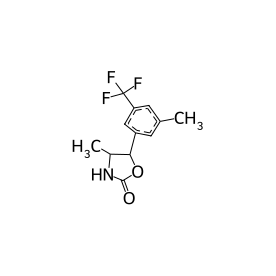 Cc1cc(C2OC(=O)NC2C)cc(C(F)(F)F)c1